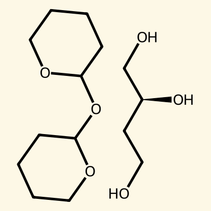 C1CCC(OC2CCCCO2)OC1.OCC[C@H](O)CO